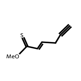 C#CCC=CC(=S)OC